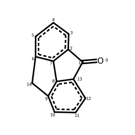 O=C1c2cccc3c2-c2c(cccc21)C3